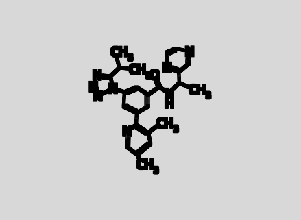 Cc1cnc(-c2cc(C(=O)NC(C)c3cnccn3)cc(-n3nnnc3C(C)C)c2)c(C)c1